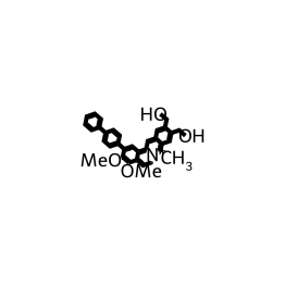 COc1c(-c2ccc(-c3ccccc3)cc2)cc2c(cc[n+]3c(C)c4cc(CO)c(CO)cc4cc23)c1OC